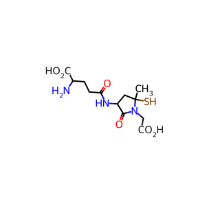 CC1(S)CC(NC(=O)CCC(N)C(=O)O)C(=O)N1CC(=O)O